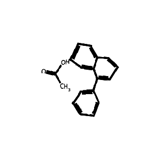 CC(=O)O.c1ccc(-c2cccc3ccccc23)cc1